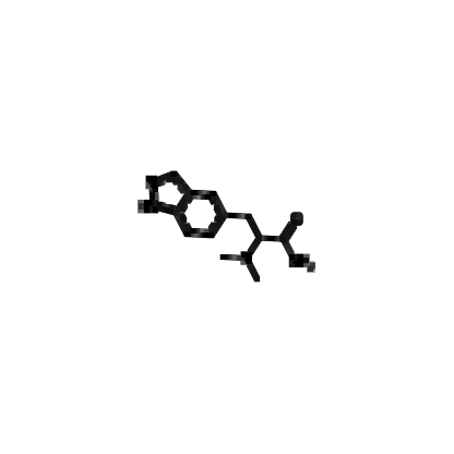 CN(C)C(Cc1ccc2[nH]ncc2c1)C(N)=O